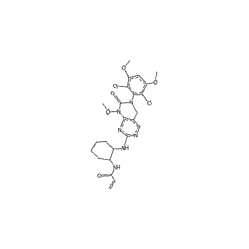 C=CC(=O)NC1CCCCC1Nc1ncc2c(n1)N(OC)C(=O)N(c1c(Cl)c(OC)cc(OC)c1Cl)C2